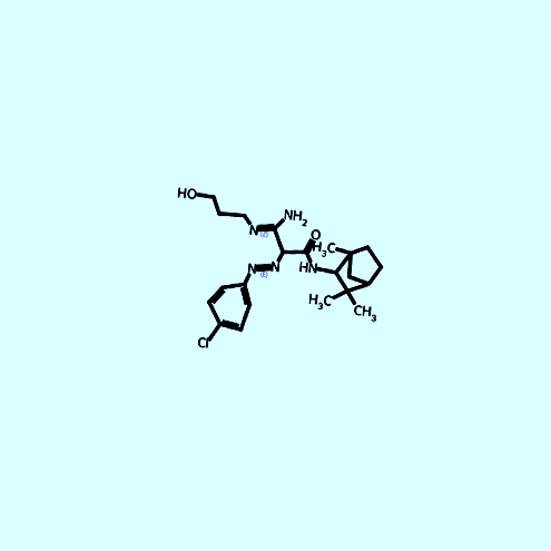 CC12CCC(C1)C(C)(C)C2NC(=O)C(/N=N/c1ccc(Cl)cc1)/C(N)=N/CCCO